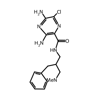 CNCC(CNC(=O)c1nc(Cl)c(N)nc1N)Cc1ccccc1